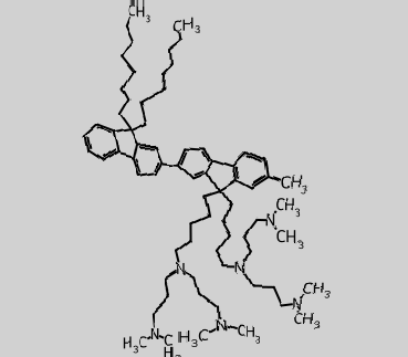 CCCCCCCCC1(CCCCCCCC)c2ccccc2-c2ccc(-c3ccc4c(c3)C(CCCCCN(CCCN(C)C)CCCN(C)C)(CCCCCN(CCCN(C)C)CCCN(C)C)c3cc(C)ccc3-4)cc21